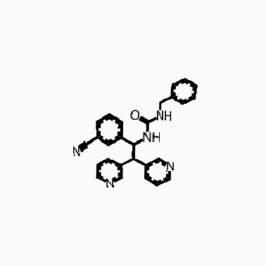 N#Cc1cccc(C(NC(=O)NCc2ccccc2)C(c2cccnc2)c2cccnc2)c1